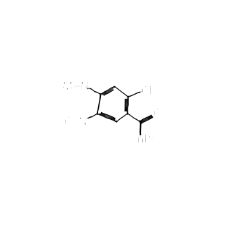 CCCC(=O)c1cc([N+](=O)[O-])c(NC)cc1Cl